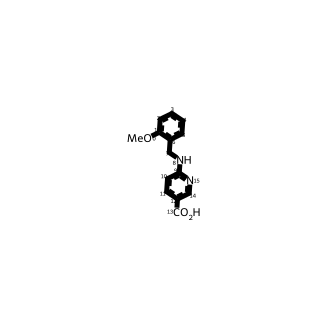 COc1ccccc1CNc1ccc(C(=O)O)cn1